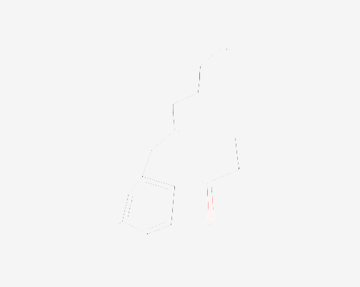 CCC=O.CCCCCCc1ccccc1